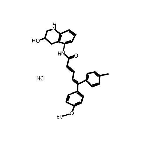 CCOc1ccc(C(=CC=CC(=O)Nc2cccc3c2CC(O)CN3)c2ccc(C)cc2)cc1.Cl